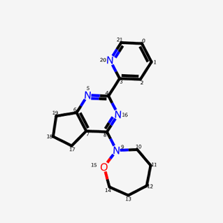 c1ccc(-c2nc3c(c(N4CCCCCO4)n2)CCC3)nc1